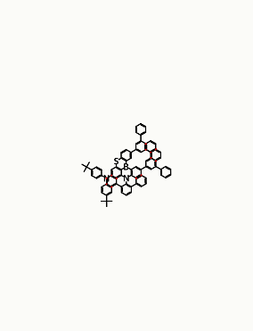 CC(C)(C)c1ccc(N(c2ccc(C(C)(C)C)cc2)c2cc3c4c(c2)N(c2c(-c5ccccc5)cccc2-c2ccccc2)c2ccc(-c5cc(-c6ccccc6)cc(-c6ccccc6)c5)cc2B4c2cc(-c4cc(-c5ccccc5)cc(-c5ccccc5)c4)ccc2S3)cc1